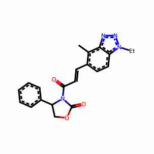 CCn1nnc2c(C)c(C=CC(=O)N3C(=O)OCC3c3ccccc3)ccc21